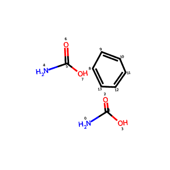 NC(=O)O.NC(=O)O.c1ccccc1